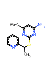 CSc1cc(N)nc(SC(C)c2ccccn2)n1